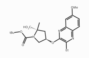 CCc1nc2ccc(OC)cc2nc1O[C@H]1CN(C(=O)OC(C)(C)C)[C@](C)(C(=O)O)C1